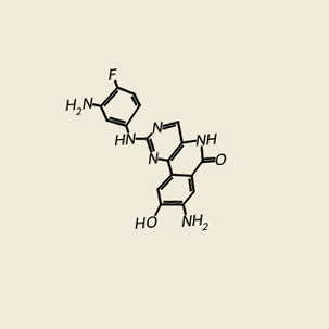 Nc1cc2c(=O)[nH]c3cnc(Nc4ccc(F)c(N)c4)nc3c2cc1O